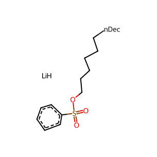 CCCCCCCCCCCCCCCCOS(=O)(=O)c1ccccc1.[LiH]